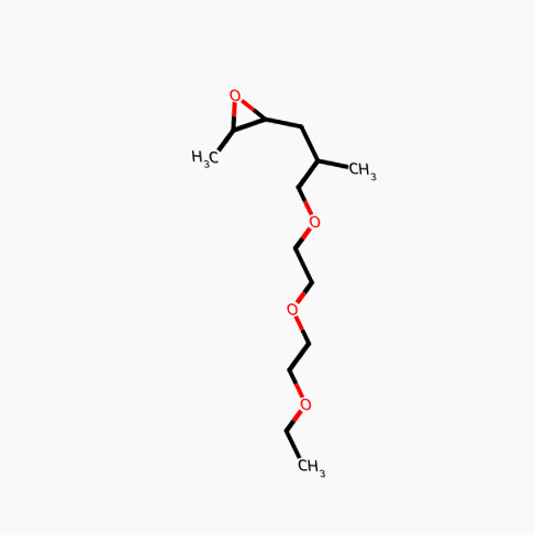 CCOCCOCCOCC(C)CC1OC1C